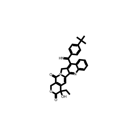 CCC1(O)C(=O)OCc2c1cc1n(c2=O)Cc2c-1nc1ccccc1c2C(=N)c1ccc(C(C)(C)C)cc1